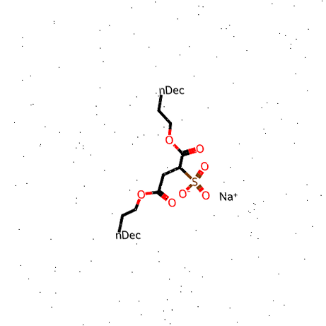 CCCCCCCCCCCCOC(=O)CC(C(=O)OCCCCCCCCCCCC)S(=O)(=O)[O-].[Na+]